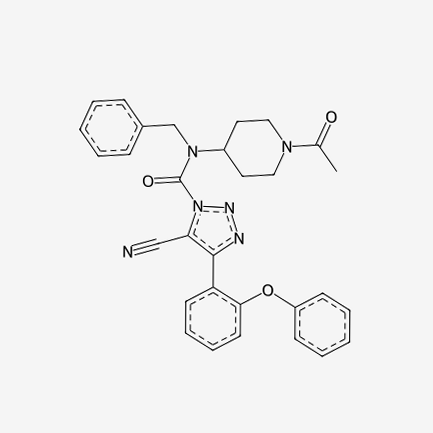 CC(=O)N1CCC(N(Cc2ccccc2)C(=O)n2nnc(-c3ccccc3Oc3ccccc3)c2C#N)CC1